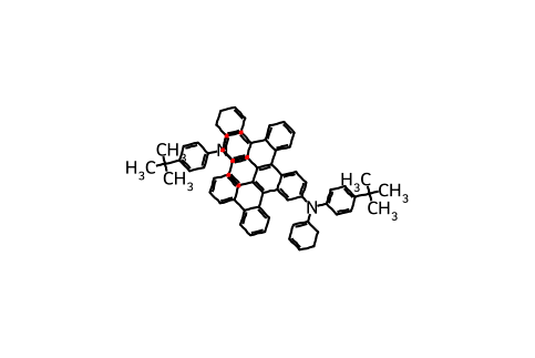 CC(C)(C)c1ccc(N(C2=CC=CCC2)c2ccc3c(-c4ccccc4-c4ccccc4)c4cc(N(C5=CC=CCC5)c5ccc(C(C)(C)C)cc5)ccc4c(-c4ccccc4-c4ccccc4)c3c2)cc1